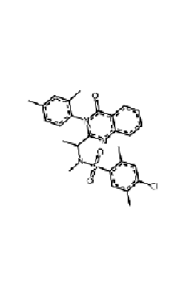 Cc1ccc(-n2c(C(C)N(C)S(=O)(=O)c3cc(C)c(Cl)cc3C)nc3ccccc3c2=O)c(C)c1